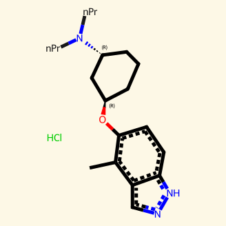 CCCN(CCC)[C@@H]1CCC[C@@H](Oc2ccc3[nH]ncc3c2C)C1.Cl